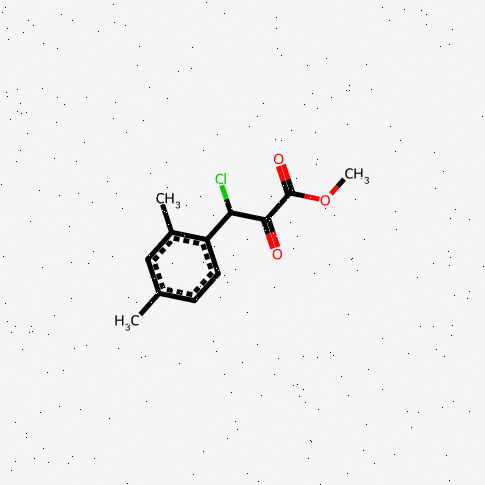 COC(=O)C(=O)C(Cl)c1ccc(C)cc1C